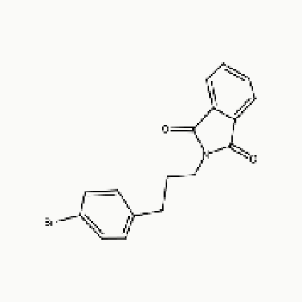 O=C1c2ccccc2C(=O)N1C[CH]Cc1ccc(Br)cc1